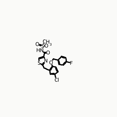 CS(=O)(=O)NC(=O)c1csc(Cc2cc(Cl)ccc2OCc2ccc(F)cc2)n1